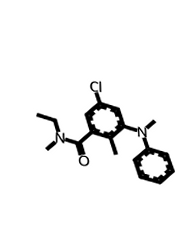 CCN(C)C(=O)c1cc(Cl)cc(N(C)c2ccccc2)c1C